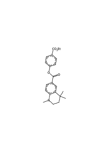 CCOC(=O)c1ccc(OC(=O)c2ccc3c(c2)C(C)(C)CCN3C)cc1